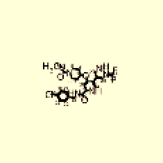 COC(=O)N1CCC(OC2=CC(C(=O)NCc3ccc(Cl)cc3)NC=C2/C(C=N)=C/NC(F)F)CC1